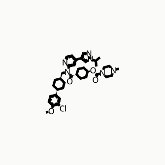 COc1ccc([C@H]2CC[C@H](CN(c3cc(-c4cnn(C(C)C)c4)ccn3)C(=O)[C@H]3CC[C@H](OC(=O)N4CCN(C)CC4)CC3)CC2)cc1Cl